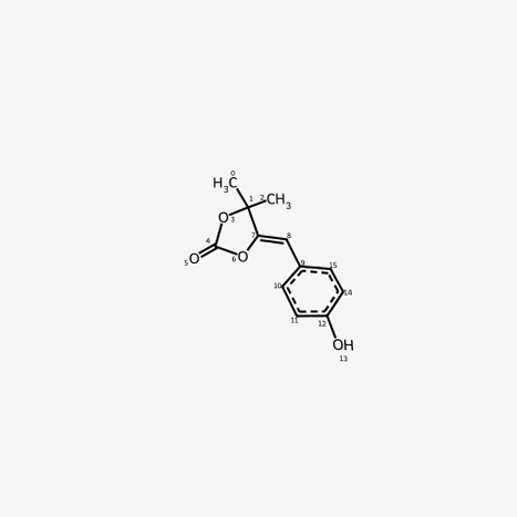 CC1(C)OC(=O)O/C1=C\c1ccc(O)cc1